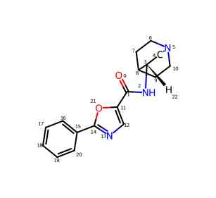 O=C(N[C@H]1CN2CCC1CC2)c1cnc(-c2ccccc2)o1